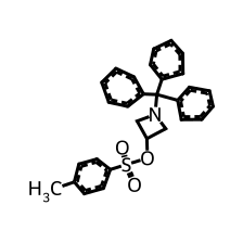 Cc1ccc(S(=O)(=O)OC2CN(C(c3ccccc3)(c3ccccc3)c3ccccc3)C2)cc1